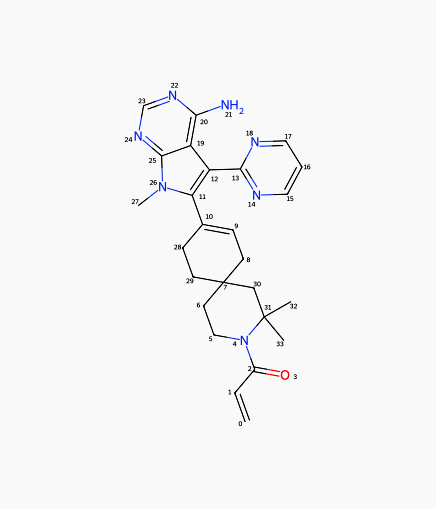 C=CC(=O)N1CCC2(CC=C(c3c(-c4ncccn4)c4c(N)ncnc4n3C)CC2)CC1(C)C